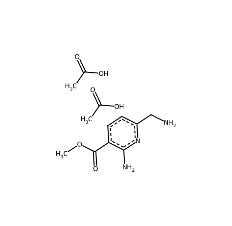 CC(=O)O.CC(=O)O.COC(=O)c1ccc(CN)nc1N